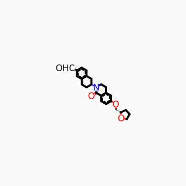 O=Cc1ccc2c(c1)CC[C@H](N1CCc3cc(OC[C@@H]4CCCO4)ccc3C1=O)C2